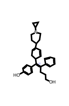 OCCC/C(=C(\c1ccc(O)cc1)C1C=CC(C2CCN(C3CC3)CC2)=CC1)c1ccccc1